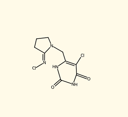 O=c1[nH]c(CN2CCC/C2=N\Cl)c(Cl)c(=O)[nH]1